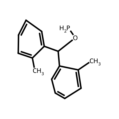 Cc1ccccc1C(OP)c1ccccc1C